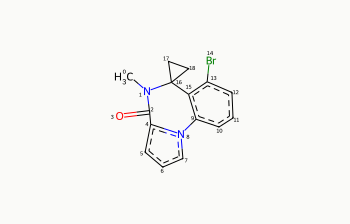 CN1C(=O)c2cccn2-c2cccc(Br)c2C12CC2